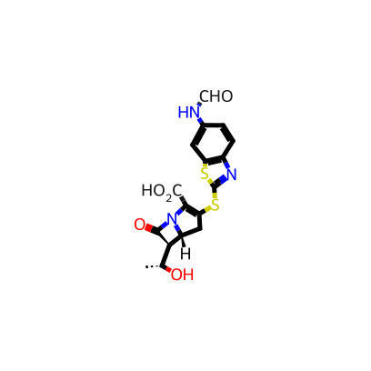 C[C@@H](O)[C@H]1C(=O)N2C(C(=O)O)=C(Sc3nc4ccc(NC=O)cc4s3)C[C@H]12